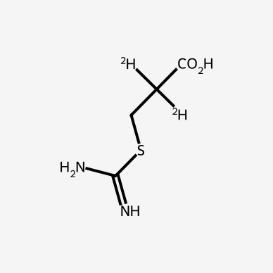 [2H]C([2H])(CSC(=N)N)C(=O)O